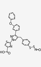 O=NSSc1ccc(Cc2cn(-c3nc(C(=O)O)cs3)nc2-c2cccc(Oc3ccccc3)c2)cc1